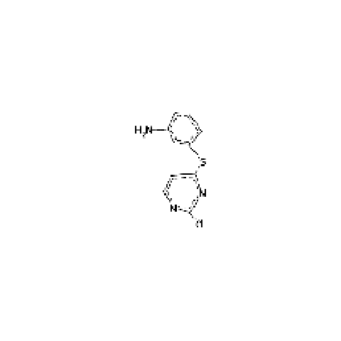 Nc1cccc(Sc2ccnc(Cl)n2)c1